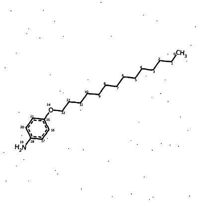 CCCCCCCCCCCCCCOc1ccc(N)cc1